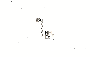 CCC(C)CCCCC=CC(C)C(N)CC